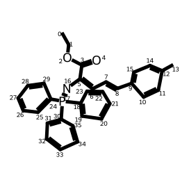 CCOC(=O)/C(=C\C=C\c1ccc(C)cc1)N=P(c1ccccc1)(c1ccccc1)c1ccccc1